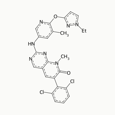 CCn1ccc(Oc2ncc(Nc3ncc4cc(-c5c(Cl)cccc5Cl)c(=O)n(C)c4n3)cc2C)n1